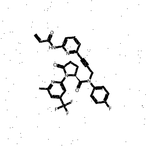 C=CC(=O)Nc1cccc(C#CCN(C(=O)[C@@H]2CCC(=O)N2c2cc(C(F)(F)F)cc(C)n2)c2ccc(F)cc2)n1